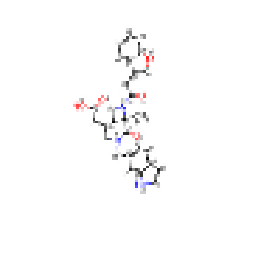 CC1(C(=O)N(CCCC(=O)O)Cc2ccc3cc[nH]c3c2)CCN1C(=O)Cc1coc2ccccc12